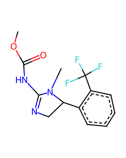 COC(=O)NC1=NCC(c2ccccc2C(F)(F)F)N1C